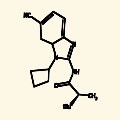 C[C@H](C(=O)NC1=NC2=CC=C(C#N)CC2N1C1CCC1)C(C)(C)C